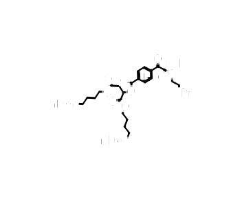 CCCCCCCCCCCCCCOC(=O)C1OC(c2ccc(C(=O)C(C)(C)OCCC(C)C)cc2)OC1C(=O)OCCCCCCCCCCCCCC